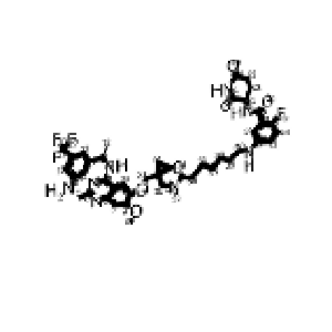 COc1cc2nc(C)nc(N[C@H](C)c3cc(N)cc(C(F)(F)F)c3)c2cc1OCC1(CN(C)C(=O)CCCCCCNc2ccc(F)c(C(=O)NC3CCC(=O)NC3=O)c2)CC1